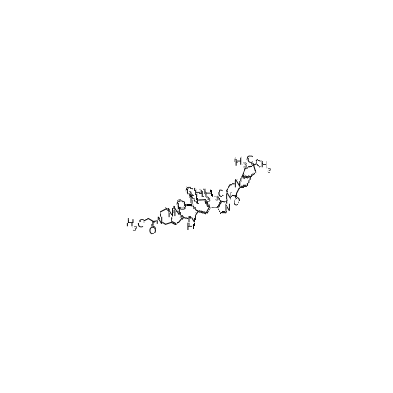 CCC(=O)N1CCn2nc(Nc3cc(-c4ccnc(N5CCn6c(cc7c6CC(C)(C)C7)C5=O)c4CC)cn(C)c3=O)cc2C1